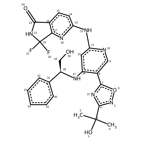 CC(C)(O)c1noc(-c2cnc(Nc3ccc4c(n3)C(F)(F)NC4=O)cc2N[C@H](CO)c2ccccc2)n1